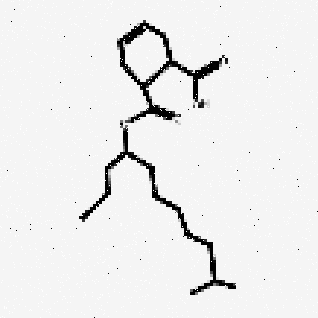 CCCC(CCCCCC(C)C)OC(=O)C1CC=CCC1C(=O)O